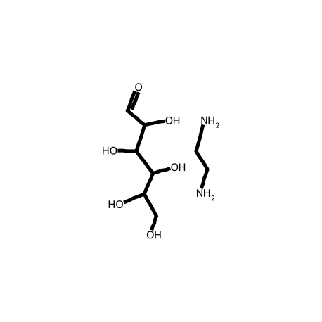 NCCN.O=CC(O)C(O)C(O)C(O)CO